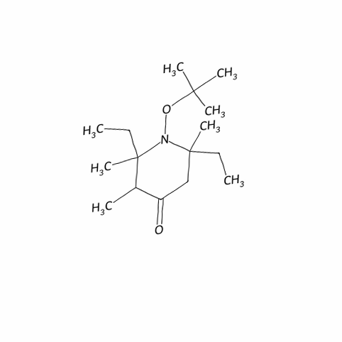 CCC1(C)CC(=O)C(C)C(C)(CC)N1OC(C)(C)C